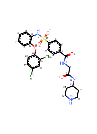 O=C(CNC(=O)c1ccc(S(=O)(=O)Nc2ccccc2Oc2ccc(Cl)cc2Cl)cc1)NC1CCNCC1